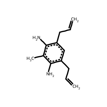 C=CCc1cc(CC=C)c(N)c(C)c1N